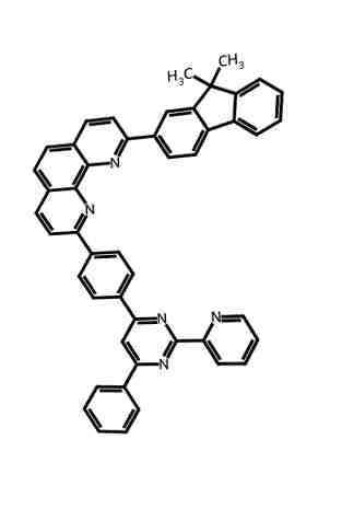 CC1(C)c2ccccc2-c2ccc(-c3ccc4ccc5ccc(-c6ccc(-c7cc(-c8ccccc8)nc(-c8ccccn8)n7)cc6)nc5c4n3)cc21